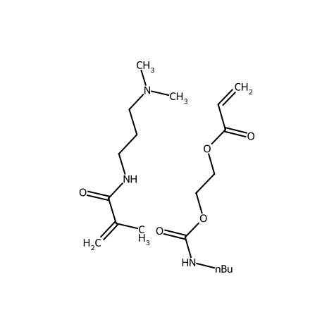 C=C(C)C(=O)NCCCN(C)C.C=CC(=O)OCCOC(=O)NCCCC